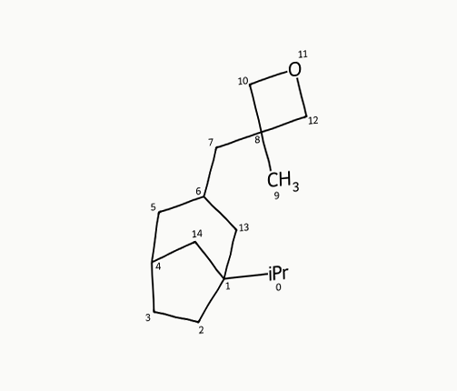 CC(C)C12CCC(CC(CC3(C)COC3)C1)C2